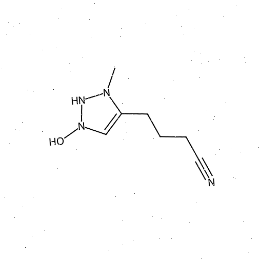 CN1NN(O)C=C1CCCC#N